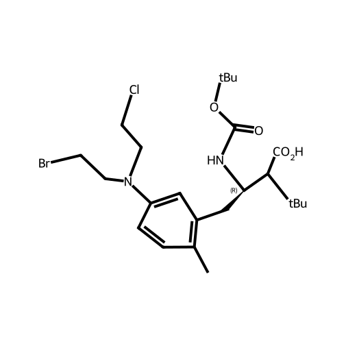 Cc1ccc(N(CCCl)CCBr)cc1C[C@@H](NC(=O)OC(C)(C)C)C(C(=O)O)C(C)(C)C